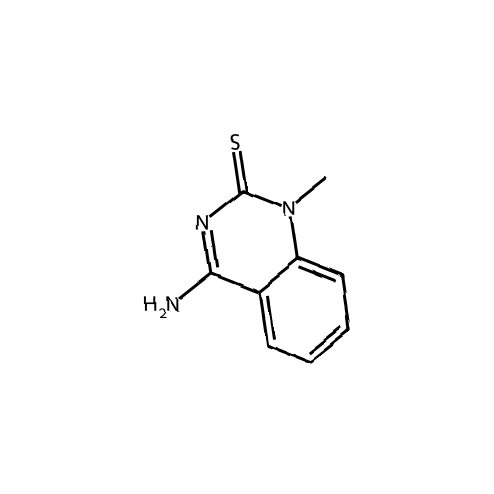 Cn1c(=S)nc(N)c2ccccc21